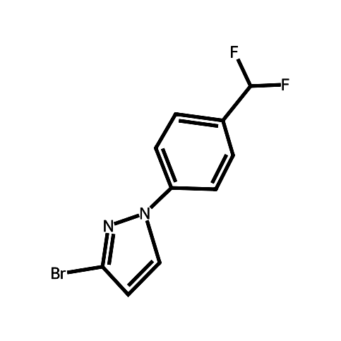 FC(F)c1ccc(-n2ccc(Br)n2)cc1